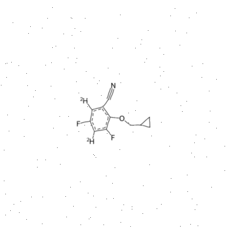 [2H]c1c(F)c([2H])c(C#N)c(OCC2CC2)c1F